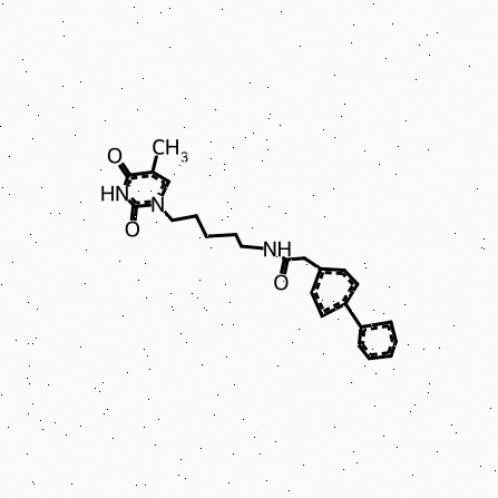 Cc1cn(CCCCCNC(=O)Cc2ccc(-c3ccccc3)cc2)c(=O)[nH]c1=O